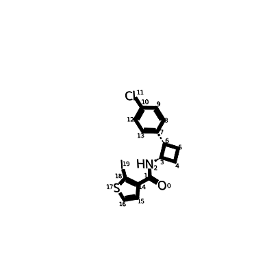 O=C(N[C@H]1CC[C@H]1c1ccc(Cl)cc1)c1ccsc1I